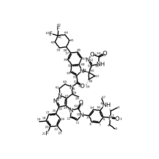 CCP(=O)(CC)c1ccc(-n2ccn(-c3c(-c4cc(C)c(F)c(C)c4)nn4c3C(C)N(C(=O)c3cc5cc(C6CCC(F)(F)CC6)ccc5n3[C@@]3(c5noc(=O)[nH]5)C[C@@H]3C)CC4)c2=O)cc1NC